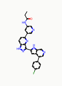 CCC(=O)Nc1cncc(-c2ccc3[nH]nc(-c4cc5c(-c6ccc(F)cc6)cncc5[nH]4)c3n2)c1